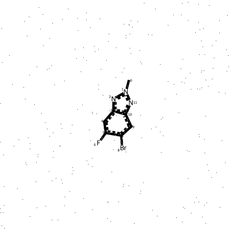 Cn1nc2cc(F)c(Br)cc2n1